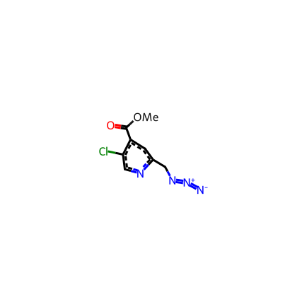 COC(=O)c1cc(CN=[N+]=[N-])ncc1Cl